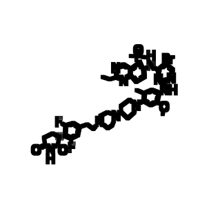 CCc1ncc2c(P(C)(C)=O)c(Nc3nc(Nc4cc(C)c(N5CCC(N6CCN(CCc7cc(F)c([C@H]8CCC(=O)NC8=O)c(F)c7)CC6)CC5)cc4OC)ncc3Br)ccc2n1